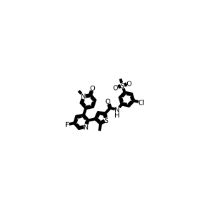 Cc1sc(C(=O)Nc2cc(Cl)cc(S(C)(=O)=O)c2)cc1-c1ncc(F)cc1-c1ccc(=O)n(C)c1